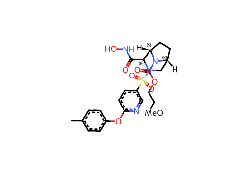 COCCOC(=O)N1[C@@H]2CC[C@H]1[C@H](C(=O)NO)N(S(=O)(=O)c1ccc(Oc3ccc(C)cc3)nc1)C2